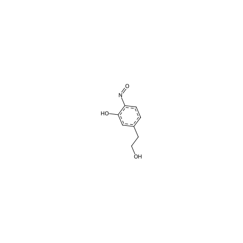 O=Nc1ccc(CCO)cc1O